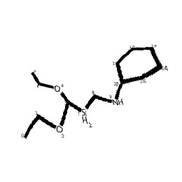 CCOC(OCC)[SiH2]CNC1CCCCC1